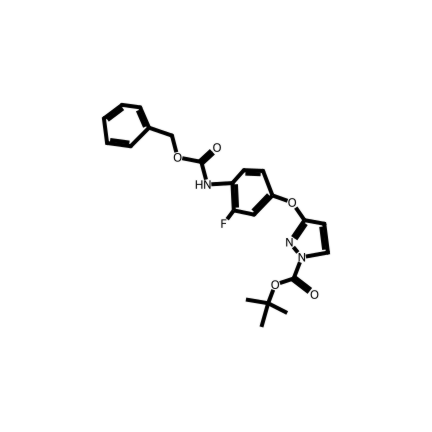 CC(C)(C)OC(=O)n1ccc(Oc2ccc(NC(=O)OCc3ccccc3)c(F)c2)n1